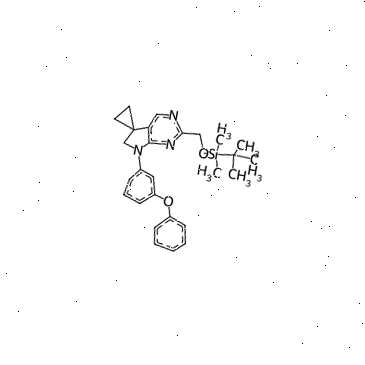 CC(C)(C)[Si](C)(C)OCc1ncc2c(n1)N(c1cccc(Oc3ccccc3)c1)CC21CC1